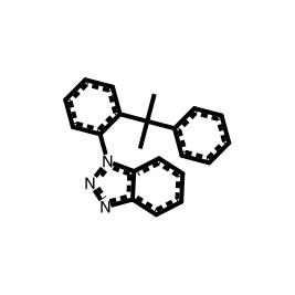 CC(C)(c1ccccc1)c1ccccc1-n1nnc2ccccc21